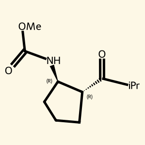 COC(=O)N[C@@H]1CCC[C@H]1C(=O)C(C)C